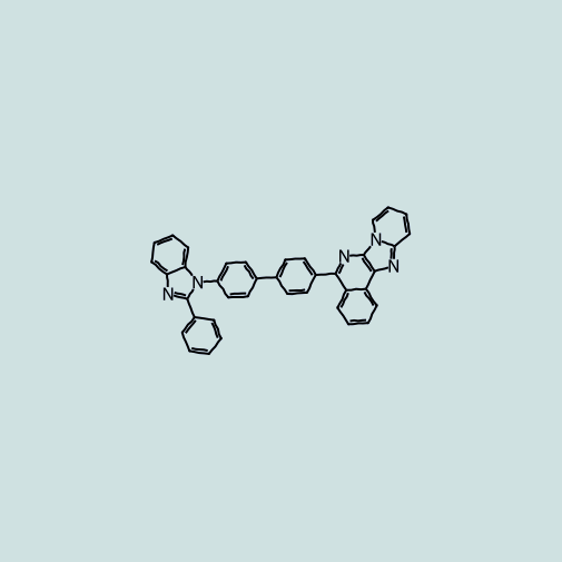 c1ccc(-c2nc3ccccc3n2-c2ccc(-c3ccc(-c4nc5c(nc6ccccn65)c5ccccc45)cc3)cc2)cc1